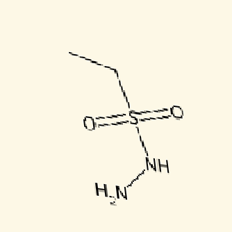 CCS(=O)(=O)NN